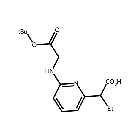 CCC(C(=O)O)c1cccc(NCC(=O)OC(C)(C)C)n1